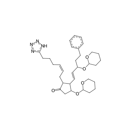 O=C1CC(OC2CCCCO2)C(C=CC(CCc2ccccc2)OC2CCCCO2)C1C/C=C\CCCc1nnn[nH]1